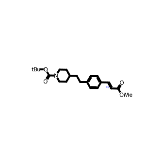 COC(=O)/C=C/c1ccc(CCC2CCN(C(=O)OC(C)(C)C)CC2)cc1